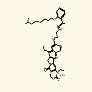 CCc1c2c(nc3ccc(OCCN/N=C(\C)c4ccccc4OCCCCCCC(C)C)cc13)-c1cc3c(c(=O)n1C2)COC(=O)[C@]3(O)CC